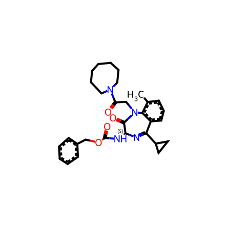 Cc1cccc2c1N(CC(=O)N1CCCCCCC1)C(=O)[C@@H](NC(=O)OCc1ccccc1)N=C2C1CC1